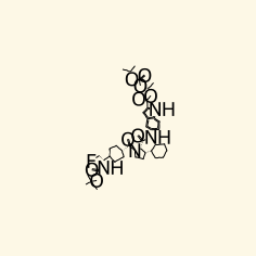 CC(C)OC(=O)OC(C)OC(=O)c1cc2cc(NC(=O)[C@@H]3[C@H](C4CCCCC4)CCN3C(=O)[C@H]3CC[C@H]([C@@H](CF)NC(=O)OC(C)(C)C)CC3)ccc2[nH]1